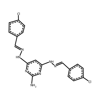 Nc1nc(NN=Cc2ccc(Cl)cc2)cc(NN=Cc2ccc(Cl)cc2)n1